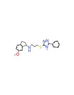 COc1ccc2c(c1)C(NCCCSc1nnc(-c3ccccc3)n1C)CC2